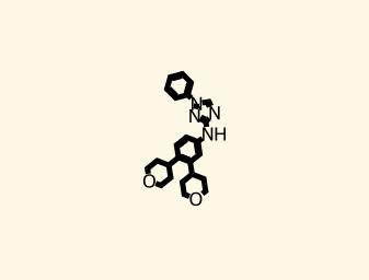 c1ccc(-n2cnc(Nc3ccc(C4CCOCC4)c(C4CCOCC4)c3)n2)cc1